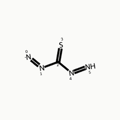 [N]=NC(=S)N=N